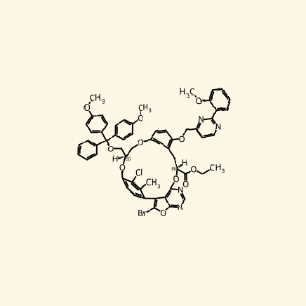 CCOC(=O)[C@H]1Cc2cc(ccc2OCc2ccnc(-c3ccccc3OC)n2)OC[C@@H](COC(c2ccccc2)(c2ccc(OC)cc2)c2ccc(OC)cc2)Oc2ccc(c(C)c2Cl)-c2c(Br)oc3ncnc(c23)O1